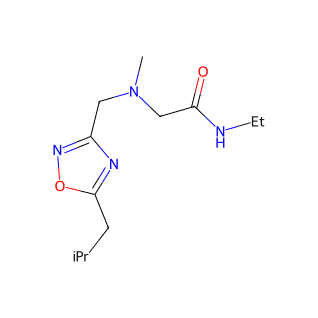 CCNC(=O)CN(C)Cc1noc(CC(C)C)n1